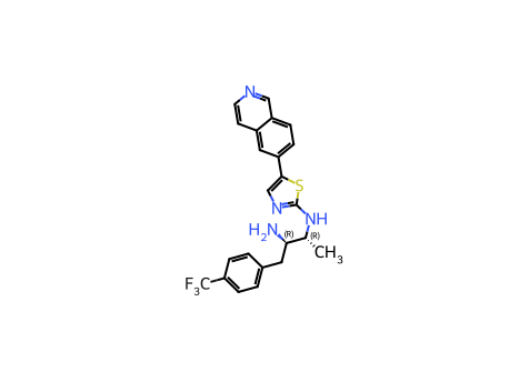 C[C@@H](Nc1ncc(-c2ccc3cnccc3c2)s1)[C@H](N)Cc1ccc(C(F)(F)F)cc1